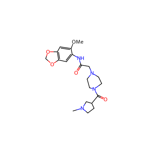 COc1cc2c(cc1NC(=O)CN1CCN(C(=O)C3CCN(C)C3)CC1)OCO2